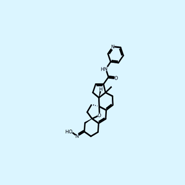 CC12CC=C3C=C4CCC(=NO)C[C@]45CC[C@]3(O5)[C@@H]1CC=C2C(=O)Nc1cccnc1